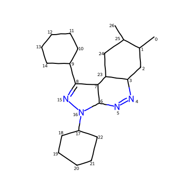 CC1CC2N=NC3C(C(C4CCCCC4)=NN3C3CCCCC3)C2CC1C